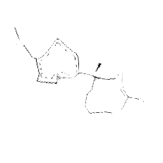 COc1ccc([C@@]2(C)C[C@@H](C)SC(N)=N2)cc1